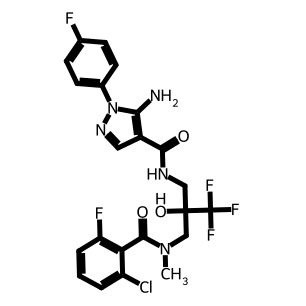 CN(CC(O)(CNC(=O)c1cnn(-c2ccc(F)cc2)c1N)C(F)(F)F)C(=O)c1c(F)cccc1Cl